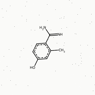 Cc1cc(O)ccc1C(=N)N